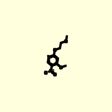 COCCOc1cc(OC)c([N+](=O)[O-])cn1